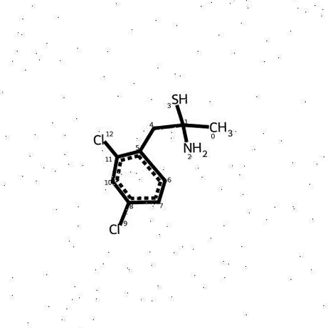 CC(N)(S)Cc1ccc(Cl)cc1Cl